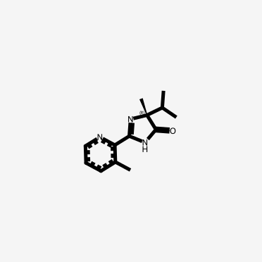 Cc1cccnc1C1=N[C@](C)(C(C)C)C(=O)N1